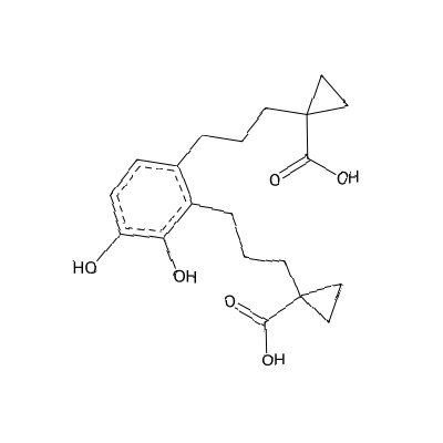 O=C(O)C1(CCCc2ccc(O)c(O)c2CCCC2(C(=O)O)CC2)CC1